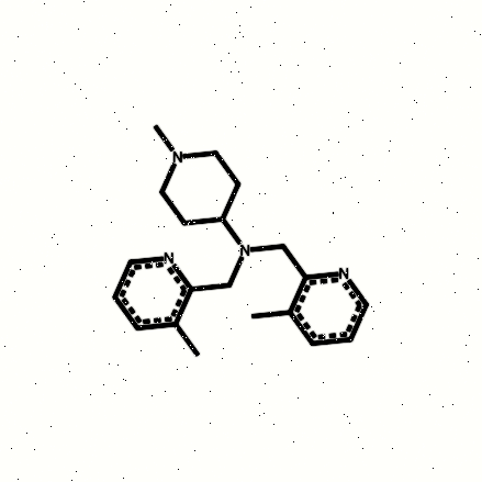 Cc1cccnc1CN(Cc1ncccc1C)C1CCN(C)CC1